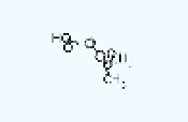 CCCOc1ccc(-c2cccc(C=CC(=O)O)c2)cc1OC